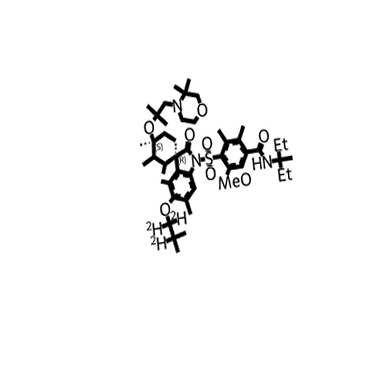 [2H]C(C)(C)C([2H])([2H])Oc1c(C)cc2c(c1C)[C@]1(CC[C@](C)(OC(C)(C)CN3CCOCC3(C)C)C(C)C1C)C(=O)N2S(=O)(=O)c1c(OC)cc(C(=O)NC(C)(CC)CC)c(C)c1C